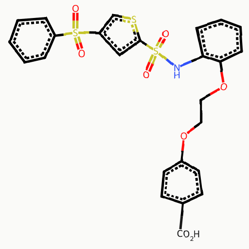 O=C(O)c1ccc(OCCOc2ccccc2NS(=O)(=O)c2cc(S(=O)(=O)c3ccccc3)cs2)cc1